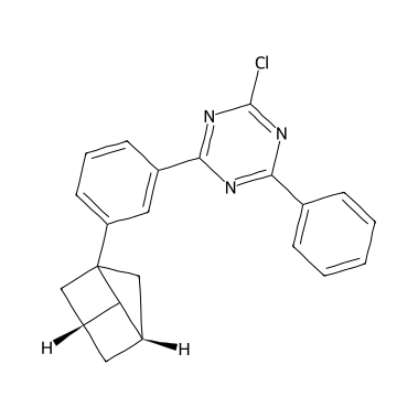 Clc1nc(-c2ccccc2)nc(-c2cccc(C34C[C@H]5C[C@@H](C3)C54)c2)n1